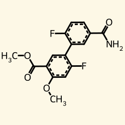 COC(=O)c1cc(-c2cc(C(N)=O)ccc2F)c(F)cc1OC